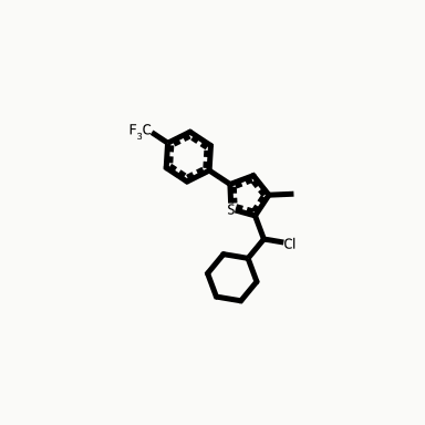 Cc1cc(-c2ccc(C(F)(F)F)cc2)sc1C(Cl)C1CCCCC1